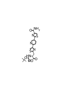 CC(C)(C)OC(=O)NC(Cc1nc(-c2ccc(-c3nc(C(N)=O)cs3)cn2)cs1)C(=O)O